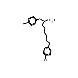 Cc1ccc(SC(CCCCCCc2ccc(Cl)cc2)C(=O)O)cc1